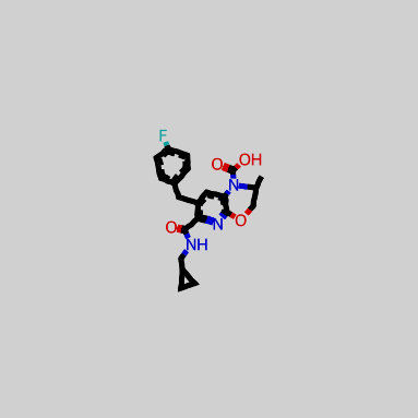 CC1COc2nc(C(=O)NCC3CC3)c(Cc3ccc(F)cc3)cc2N1C(=O)O